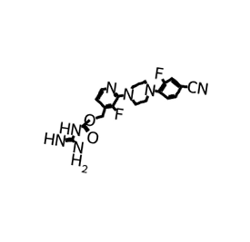 N#Cc1ccc(N2CCN(c3nccc(COC(=O)NC(=N)N)c3F)CC2)c(F)c1